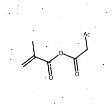 C=C(C)C(=O)OC(=O)CC(C)=O